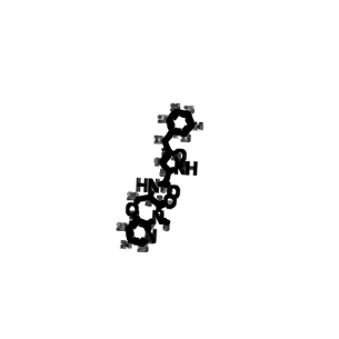 CN1C(=O)C(NC(=O)C2C=C(Cc3ccccc3)ON2)COc2cccnc21